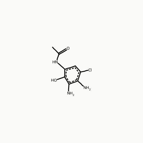 CC(=O)Nc1cc(Cl)c(N)c(N)c1O